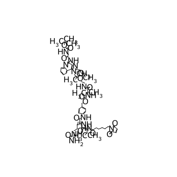 CCOCc1nc2c(NC(=O)CNC(=O)OC(C)(C)C)nc3ccccc3c2n1CC(C)(C)OCCNC(=O)C(C)(C)NC(=O)OCc1ccc(NC(=O)[C@H](CCCNC(N)=O)NC(=O)[C@@H](NC(=O)CCCCCN2C(=O)C=CC2=O)C(C)C)cc1